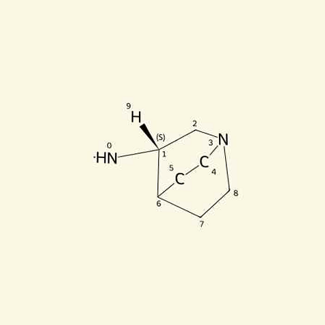 [NH][C@@H]1CN2CCC1CC2